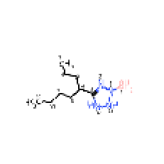 BN1N=C(C(CCC)CCCC)NN1